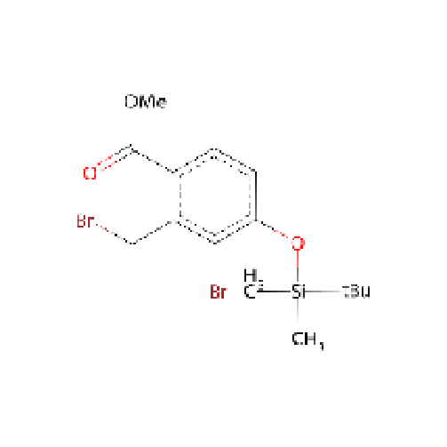 COC(=O)c1ccc(O[Si](C)(C)C(C)(C)C)c(Br)c1CBr